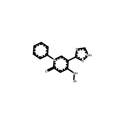 CC(C)Nc1cc(=O)n(-c2ccccc2)cc1-c1nc[nH]n1